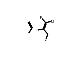 C=CC.FCC(F)=C(F)Cl